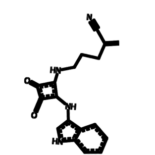 C=C(C#N)CCCNc1c(Nc2c[nH]c3ccccc23)c(=O)c1=O